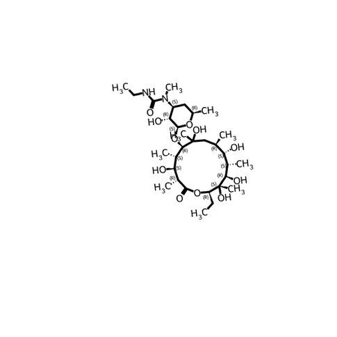 CCNC(=O)N(C)[C@H]1C[C@@H](C)O[C@@H](O[C@@H]2[C@@H](C)[C@H](O)[C@@H](C)C(=O)O[C@H](CC)[C@@](C)(O)[C@H](O)[C@@H](C)[C@@H](O)[C@H](C)CC2(C)O)[C@@H]1O